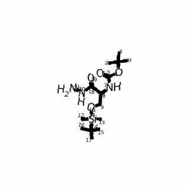 CC(C)(C)OC(=O)NC(CO[Si](C)(C)C(C)(C)C)C(=O)NN